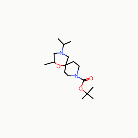 CC1CN(C(C)C)CC2(CCN(C(=O)OC(C)(C)C)CC2)O1